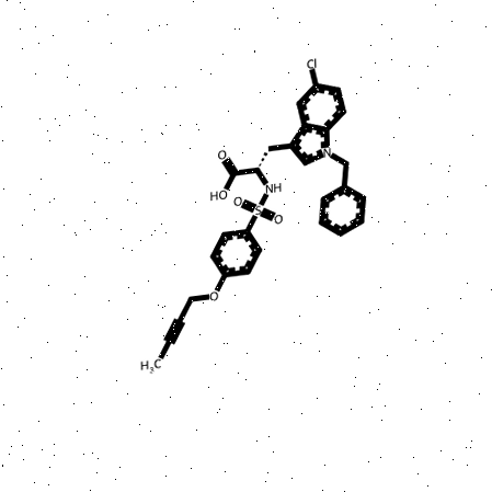 CC#CCOc1ccc(S(=O)(=O)N[C@@H](Cc2cn(Cc3ccccc3)c3ccc(Cl)cc23)C(=O)O)cc1